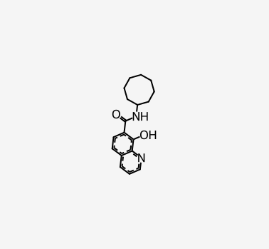 O=C(NC1CCCCCCC1)c1ccc2cccnc2c1O